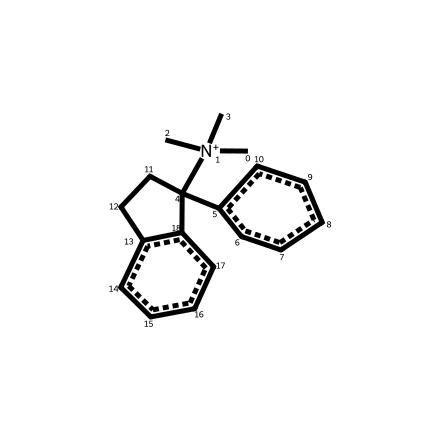 C[N+](C)(C)C1(c2ccccc2)CCc2ccccc21